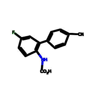 N#Cc1ccc(-c2cc(F)ccc2NC(=O)O)cc1